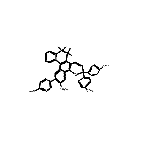 COc1ccc(-c2cc3c4c(c5c(c3cc2OC)OC(c2ccc(OC)cc2)(c2ccc(OC)cc2)C=C5)C(C)(C)C(C)(C)c2ccccc2-4)cc1